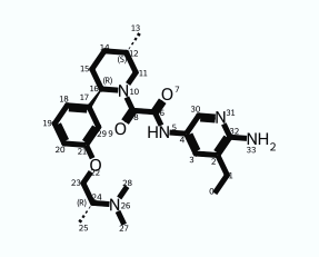 CCc1cc(NC(=O)C(=O)N2C[C@@H](C)CC[C@@H]2c2cccc(OC[C@@H](C)N(C)C)c2)cnc1N